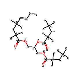 CC/C=C/C(C)(C)CC(C)(C)C(=O)OCC(COC(=O)C(C)(C)CC(C)(C)C)OC(=O)C(C)(C)CC(C)(C)C